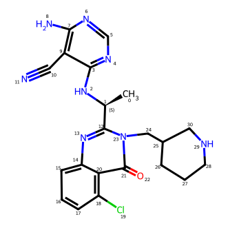 C[C@H](Nc1ncnc(N)c1C#N)c1nc2cccc(Cl)c2c(=O)n1CC1CCCNC1